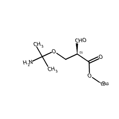 CC(C)(C)OC(=O)[C@H](C=O)COC(C)(C)N